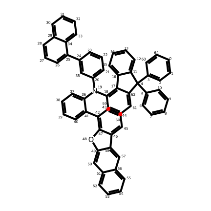 c1ccc(C2(c3ccccc3)c3ccccc3-c3c(N(c4cccc(-c5cccc6ccccc56)c4)c4ccccc4-c4cccc5c4oc4cc6ccccc6cc45)cccc32)cc1